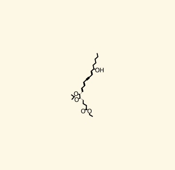 CCCCCC(O)/C=C/C#C/C=C/C=C/[C@H]1OC(C)(C)O[C@H]1CCCC(=O)OCC